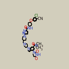 CN(C)C(=O)c1cc(N2CCC(=O)NC2=O)c2ccn(C3CCN(CC4CCN(c5ccc(C(=O)NC6CCC(Oc7ccc(C#N)c(Cl)c7)CC6)nn5)CC4)CC3)c2c1